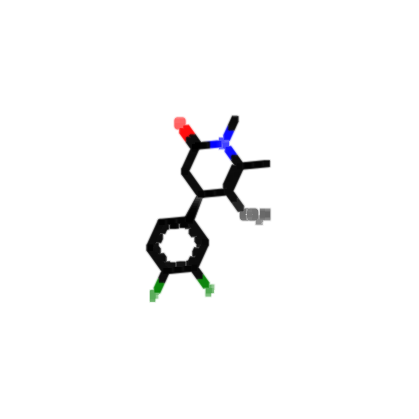 CC1=C(C(=O)O)[C@@H](c2ccc(F)c(F)c2)CC(=O)N1C